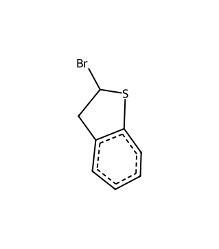 BrC1Cc2ccccc2S1